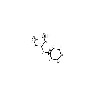 OCC(CO)CN1CCCCC1